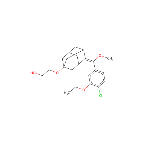 CCOc1cc(C(OC)=C2C3CC4CC2CC(OCCO)(C4)C3)ccc1Cl